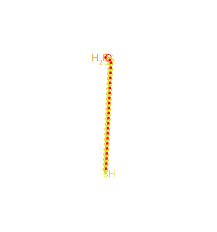 POS(=S)(=S)SSSSSSSSSSSSSSSSSSSSSSSSSSSSSSSSSSSSSSSSSSSSS